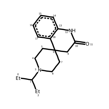 CCC(CC)N1CCC2(CC1)CC(=O)Nc1ccccc12